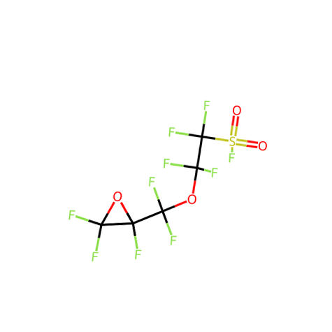 O=S(=O)(F)C(F)(F)C(F)(F)OC(F)(F)C1(F)OC1(F)F